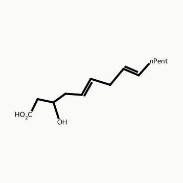 CCCCCC=CCC=CCC(O)CC(=O)O